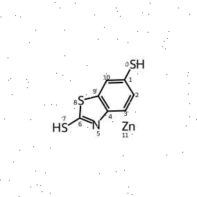 Sc1ccc2nc(S)sc2c1.[Zn]